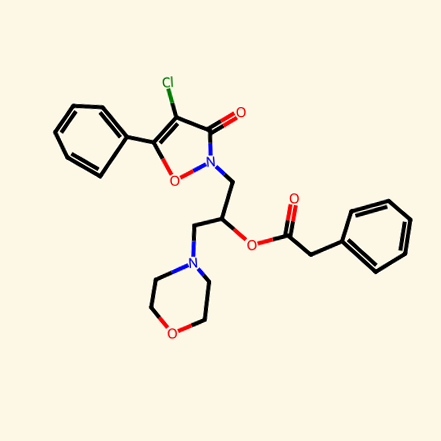 O=C(Cc1ccccc1)OC(CN1CCOCC1)Cn1oc(-c2ccccc2)c(Cl)c1=O